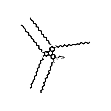 CCCCCCCCCCCCCCCCSc1cc2c(cc1SCO)c1cc(SCCCCCCCCCCCCCCCC)c(SCCCCCCCCCCCCCCCC)cc1c1cc(SCCCCCCCCCCCCCCCC)c(SCCCCCCCCCCCCCCCC)cc21